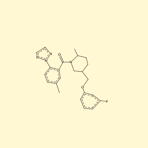 Cc1ccc(-n2nccn2)c(C(=O)N2CC(COc3cccc(F)c3)CCC2C)c1